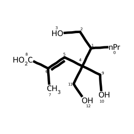 CCCC(CO)C(C=C(C)C(=O)O)(CO)CO